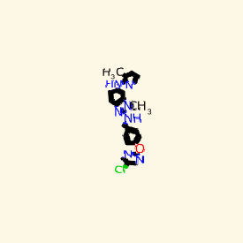 Cc1cccnc1Nc1ccc2nc(NCc3ccc(Oc4ncc(Cl)cn4)cc3)n(C)c2c1